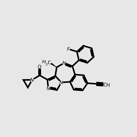 C#Cc1ccc2c(c1)C(c1ccccc1F)=N[C@H](C)c1c(C(=O)N3CC3)ncn1-2